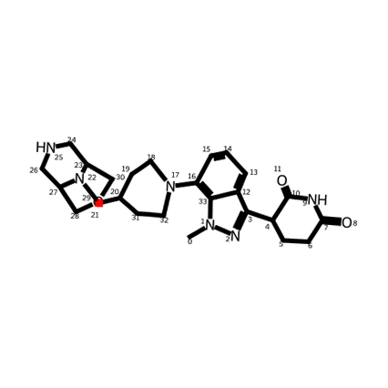 Cn1nc(C2CCC(=O)NC2=O)c2cccc(N3CCC(CN4C5CNCC4COC5)CC3)c21